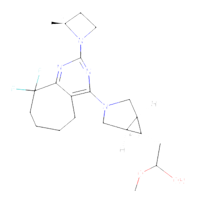 COC(O)C[C@@H]1[C@H]2CN(c3nc(N4CC[C@@H]4C)nc4c3CCCCC4(F)F)C[C@@H]12